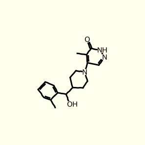 Cc1ccccc1C(O)C1CCN(c2cn[nH]c(=O)c2C)CC1